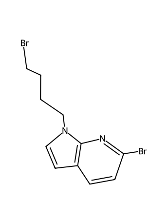 BrCCCCn1ccc2ccc(Br)nc21